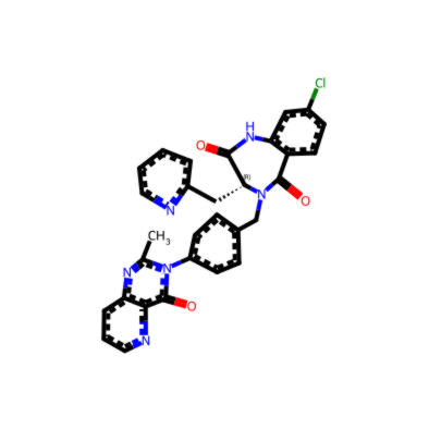 Cc1nc2cccnc2c(=O)n1-c1ccc(CN2C(=O)c3ccc(Cl)cc3NC(=O)[C@H]2Cc2ccccn2)cc1